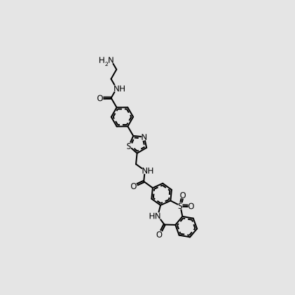 NCCNC(=O)c1ccc(-c2ncc(CNC(=O)c3ccc4c(c3)NC(=O)c3ccccc3S4(=O)=O)s2)cc1